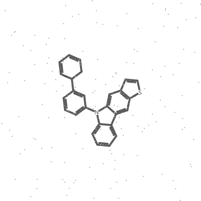 C1=CCC(c2cccc(-n3c4ccccc4c4cc5sccc5cc43)c2)C=C1